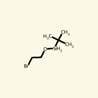 CC(C)(C)[SiH2]OCCBr